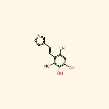 N#Cc1cc(O)c(O)c(C#N)c1/C=C/c1ccsc1